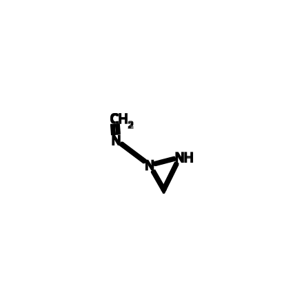 C=NN1CN1